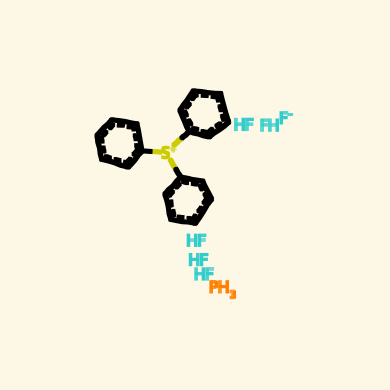 F.F.F.F.F.P.[F-].c1ccc([S+](c2ccccc2)c2ccccc2)cc1